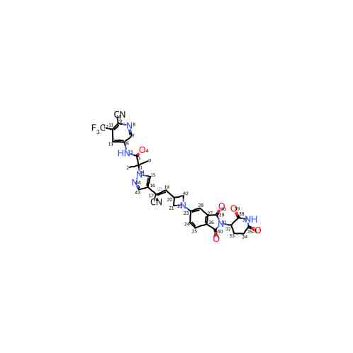 CC(C)(C(=O)Nc1cnc(C#N)c(C(F)(F)F)c1)n1cc(/C(C#N)=C/C2CN(c3ccc4c(c3)C(=O)N(C3CCC(=O)NC3=O)C4=O)C2)cn1